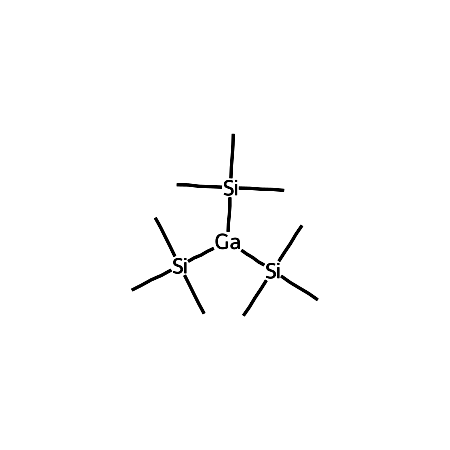 C[Si](C)(C)[Ga]([Si](C)(C)C)[Si](C)(C)C